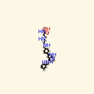 O=C(CCNCCNCc1ccc(-c2cc3c(NCc4ccccc4)ncnc3[nH]2)cc1)NO